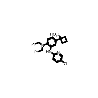 CC(C)CN(CC(C)C)c1ccc(C2(C(=O)O)CCC2)cc1Nc1ccc(Cl)cn1